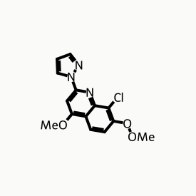 COOc1ccc2c(OC)cc(-n3cccn3)nc2c1Cl